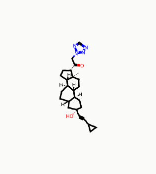 C[C@]12CC[C@H]3[C@@H](CC[C@H]4C[C@](O)(C#CC5CC5)CC[C@@H]43)[C@@H]1CC[C@@H]2C(=O)Cn1ncnn1